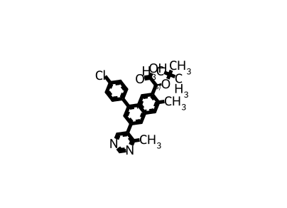 Cc1cc2cc(-c3cncnc3C)cc(-c3ccc(Cl)cc3)c2cc1[C@H](OC(C)(C)C)C(=O)O